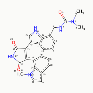 CN(C)C(=O)NCc1cccc2c(C3=C(c4cccc5ccn(C)c45)C(=O)NC3=O)c[nH]c12